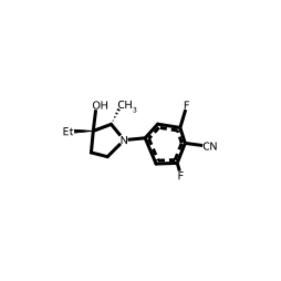 CC[C@]1(O)CCN(c2cc(F)c(C#N)c(F)c2)[C@H]1C